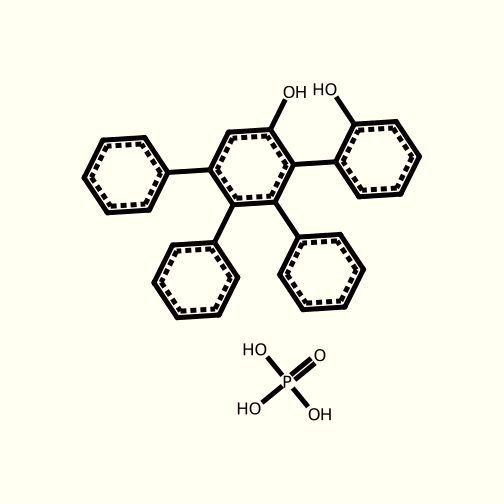 O=P(O)(O)O.Oc1ccccc1-c1c(O)cc(-c2ccccc2)c(-c2ccccc2)c1-c1ccccc1